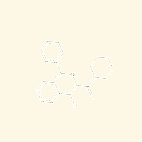 O=C(N/C(C(=O)N1CCCCC1)=C(/Cl)c1ccccc1)c1ccccc1